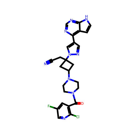 N#CCC1(n2cc(-c3ncnc4[nH]ccc34)cn2)CC(N2CCN(C(=O)c3cc(F)cnc3Cl)CC2)C1